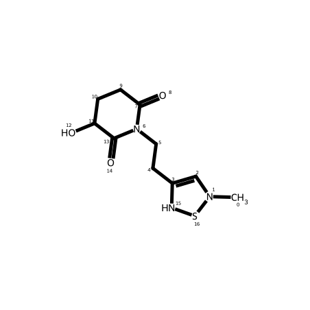 CN1C=C(CCN2C(=O)CCC(O)C2=O)NS1